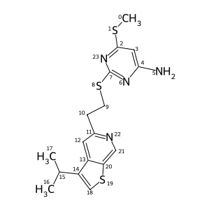 CSc1cc(N)nc(SCCc2cc3c(C(C)C)csc3cn2)n1